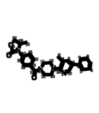 Cc1cc(-c2ccccc2)cnc1N1CCN(C(=O)c2ccc(N3C(=O)OCC3C)cc2)CC1